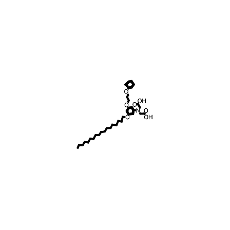 CCCCCCCCCCCCCCCCCCOc1cc(OCCCOc2ccccc2)cc(N(CC(=O)O)CC(=O)O)c1